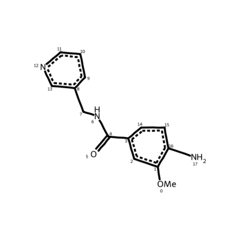 COc1cc(C(=O)NCc2cccnc2)ccc1N